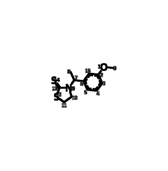 COc1cccc(C(C)N2CCSC2=S)c1